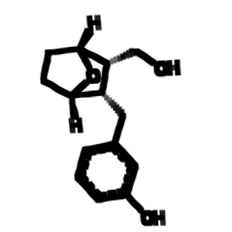 OC[C@@H]1[C@H](Cc2cccc(O)c2)[C@@H]2CC[C@H]1O2